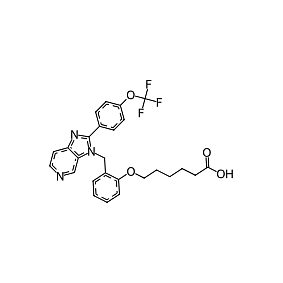 O=C(O)CCCCCOc1ccccc1Cn1c(-c2ccc(OC(F)(F)F)cc2)nc2ccncc21